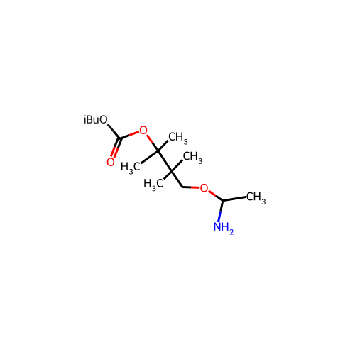 CC(C)COC(=O)OC(C)(C)C(C)(C)COC(C)N